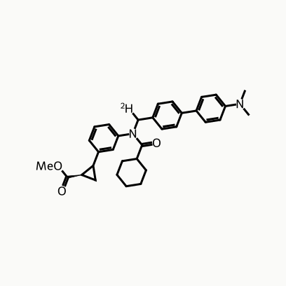 [2H]C(c1ccc(-c2ccc(N(C)C)cc2)cc1)N(C(=O)C1CCCCC1)c1cccc(C2C[C@H]2C(=O)OC)c1